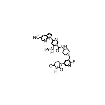 CC(C)Nc1cc(-n2ccc3cc(C#N)cnc32)ncc1C(=O)NC1CCN(Cc2cc(N3CCC(=O)NC3=O)cnc2F)CC1